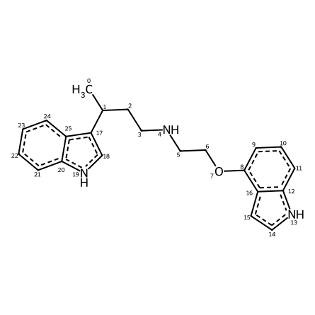 CC(CCNCCOc1cccc2[nH]ccc12)c1c[nH]c2ccccc12